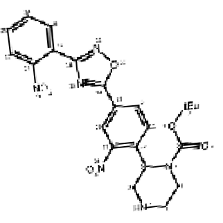 CC(C)(C)OC(=O)N1CCNCC1c1ccc(-c2nc(-c3ccccc3[N+](=O)[O-])no2)cc1[N+](=O)[O-]